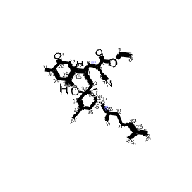 CCOC(=O)/C(C#N)=C/C1=C[C@]2(C=C(C)C[C@@H](/C=C(\C)CCC=C(C)C)O2)O[C@@H]2C=C(C)C(=O)C[C@H]12